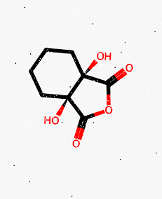 O=C1OC(=O)[C@@]2(O)CCCC[C@@]12O